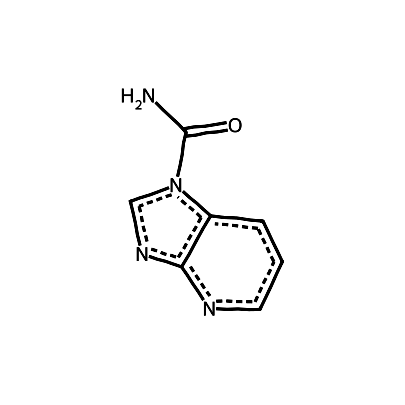 NC(=O)n1cnc2ncccc21